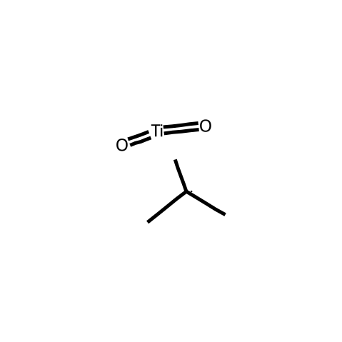 C[C](C)C.[O]=[Ti]=[O]